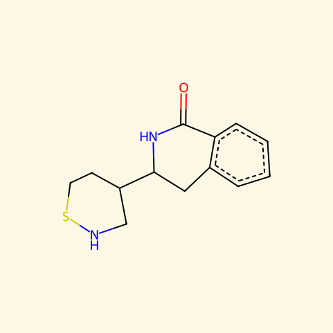 O=C1NC(C2CCSNC2)Cc2ccccc21